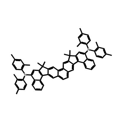 Cc1ccc(N(c2ccc(C)cc2C)c2cc3c(c4ccccc24)-c2cc4ccc5cc6c(cc5c4cc2C3(C)C)C(C)(C)c2cc(N(c3ccc(C)cc3C)c3ccc(C)cc3C)c3ccccc3c2-6)c(C)c1